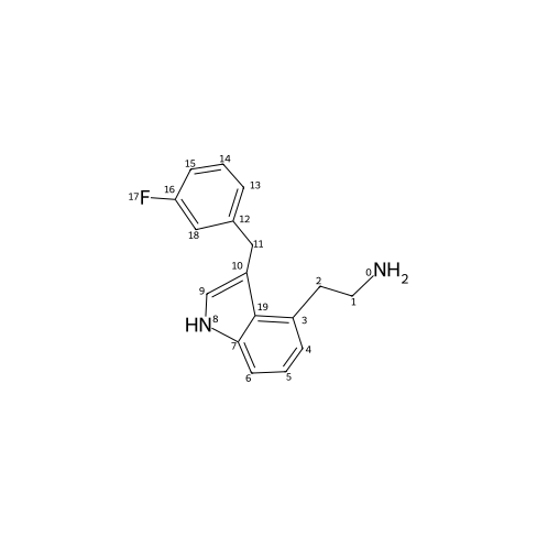 NCCc1cccc2[nH]cc(Cc3cccc(F)c3)c12